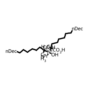 CCCCCCCCCCCCCCCCC(C)(C(=O)O)[N+](O)(CCC)C(C)(CCCCCCCCCCCCCCCC)C(=O)O